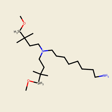 CO[SiH2]C(C)(C)CCN(CCCCCCCCN)CCC(C)(C)[SiH2]OC